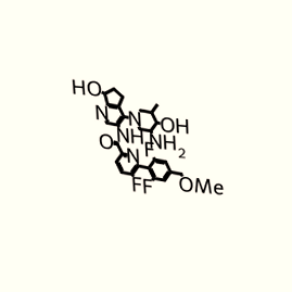 COCc1cc(F)c(-c2nc(C(=O)Nc3cnc4c(c3N3CC(C)C(O)C(N)C3)CCC4O)ccc2F)c(F)c1